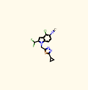 [C-]#[N+]c1ccc2c(cc(C(F)F)n2Cc2nnc(C3CC3)s2)c1Cl